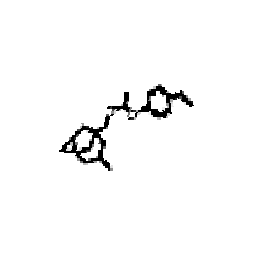 C=Cc1ccc(OC(C)OCC23CC(C)CC4(CC4C2)C3)cc1